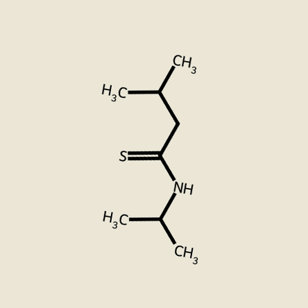 CC(C)CC(=S)NC(C)C